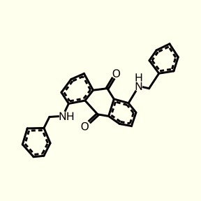 O=C1c2cccc(NCc3ccccc3)c2C(=O)c2cccc(NCc3ccccc3)c21